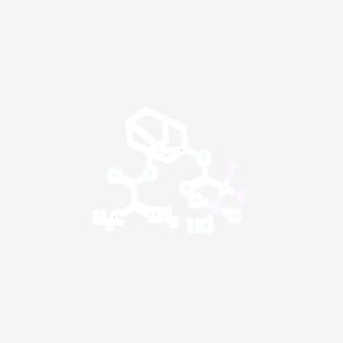 C=C(C)C(=O)OC12CC3CC(C1)CC(OC(=O)C(F)(F)S(=O)(=O)O)(C3)C2